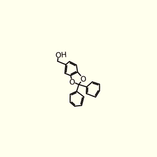 OCc1ccc2c(c1)OC(c1ccccc1)(c1ccccc1)O2